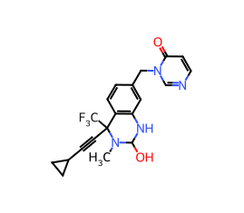 CN1C(O)Nc2cc(Cn3cnccc3=O)ccc2C1(C#CC1CC1)C(F)(F)F